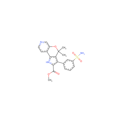 COC(=O)c1[nH]c2c(c1-c1cccc(S(N)(=O)=O)c1)C(C)(C)Oc1cnccc1-2